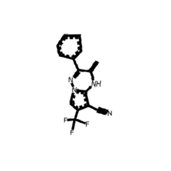 C=C1Nc2c(C#N)c(C(F)(F)F)cn2N=C1c1ccccc1